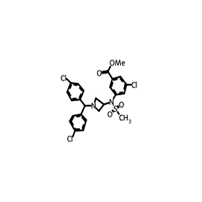 COC(=O)c1cc(Cl)cc(N(C2CN(C(c3ccc(Cl)cc3)c3ccc(Cl)cc3)C2)S(C)(=O)=O)c1